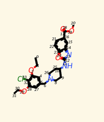 CCOc1cc(CN2CCC(Nc3nc4cc(C(=O)OC)ccc4o3)CC2)cc(OCC)c1Cl